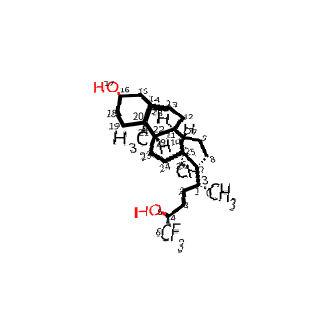 C[C@H](CC[C@H](O)C(F)(F)F)[C@H]1CC[C@H]2[C@@H]3CC=C4C[C@@H](O)CC[C@]4(C)[C@H]3CC[C@]12C